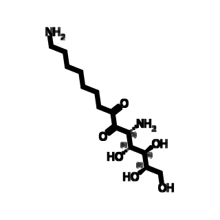 NCCCCCCCC(=O)C(=O)[C@H](N)[C@@H](O)[C@@H](O)[C@H](O)CO